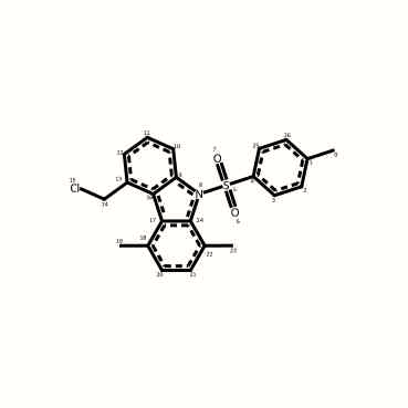 Cc1ccc(S(=O)(=O)n2c3cccc(CCl)c3c3c(C)ccc(C)c32)cc1